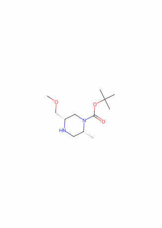 COC[C@@H]1CN(C(=O)OC(C)(C)C)[C@H](C)CN1